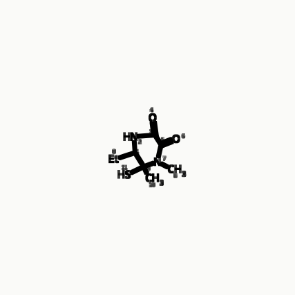 CCC1NC(=O)C(=O)N(C)C1(C)S